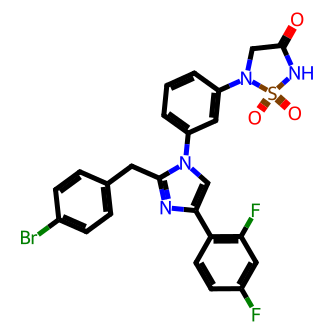 O=C1CN(c2cccc(-n3cc(-c4ccc(F)cc4F)nc3Cc3ccc(Br)cc3)c2)S(=O)(=O)N1